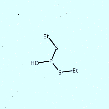 CCSP(O)SCC